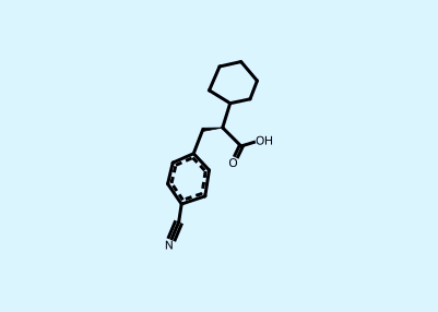 N#Cc1ccc(C[C@H](C(=O)O)C2CCCCC2)cc1